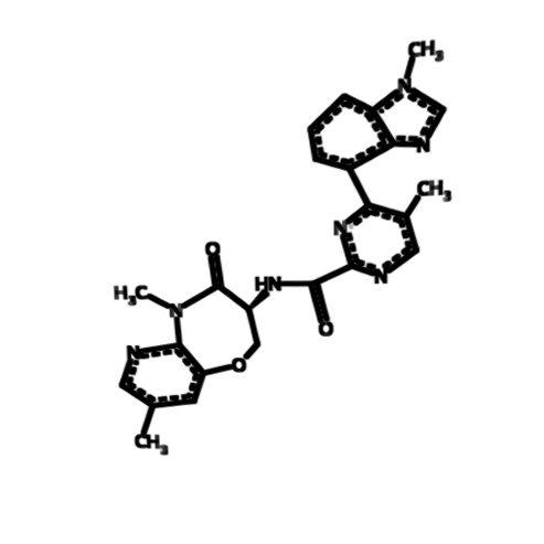 Cc1cnc2c(c1)OC[C@H](NC(=O)c1ncc(C)c(-c3cccc4c3ncn4C)n1)C(=O)N2C